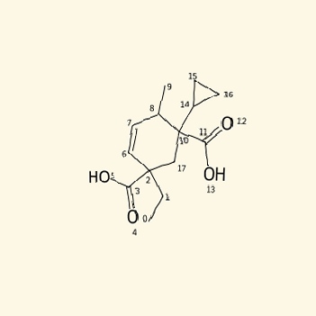 CCC1(C(=O)O)C=CC(C)C(C(=O)O)(C2CC2)C1